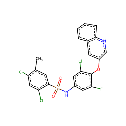 Cc1cc(S(=O)(=O)Nc2cc(F)c(Oc3cnc4ccccc4c3)c(Cl)c2)c(Cl)cc1Cl